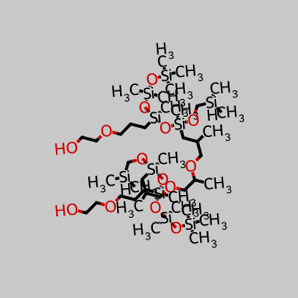 CC(COCC(C)OCC(C)C[Si](C)(OC[SiH](C)C)O[Si](C)(CCCOCCO)O[Si](C)(C)O[Si](C)(C)C)C[Si](C)(OC[SiH](C)C)O[Si](C)(CCCOCCO)O[Si](C)(C)O[Si](C)(C)C